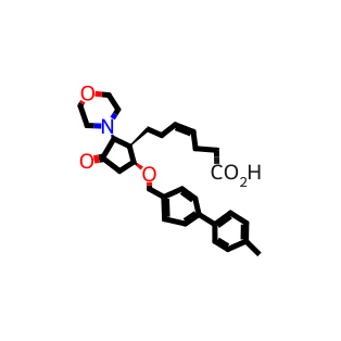 Cc1ccc(-c2ccc(CO[C@H]3CC(=O)[C@H](N4CCOCC4)[C@H]3CC/C=C\CCC(=O)O)cc2)cc1